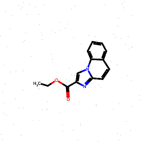 CCOC(=O)c1cn2c(ccc3ccccc32)n1